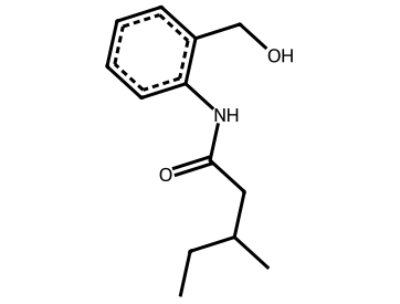 CCC(C)CC(=O)Nc1ccccc1CO